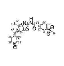 CC(C)C1c2nc(NC(=O)Cc3ccc(S(C)(=O)=O)cc3)sc2CN1[C@@H](C)c1ccc(Cl)cn1